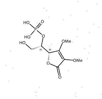 COC1=C(OC)[C@@H]([C@H](CO)OP(=O)(O)O)OC1=O